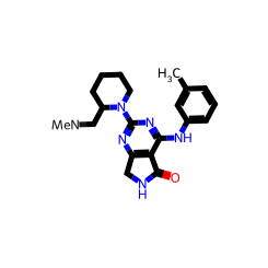 CNCC1CCCCN1c1nc2c(c(Nc3cccc(C)c3)n1)C(=O)NC2